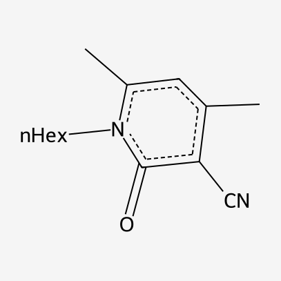 CCCCCCn1c(C)cc(C)c(C#N)c1=O